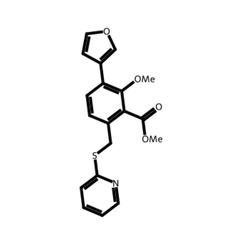 COC(=O)c1c(CSc2ccccn2)ccc(-c2ccoc2)c1OC